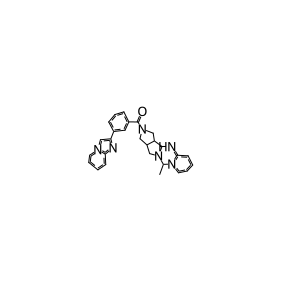 CC(N1CC2CN(C(=O)c3cccc(-c4cn5ccccc5n4)c3)CC2C1)n1ccccc1=N